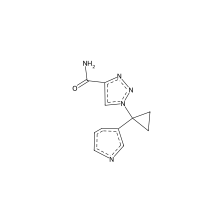 NC(=O)c1cn(C2(c3cccnc3)CC2)nn1